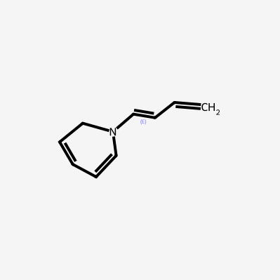 C=C/C=C/N1C=CC=CC1